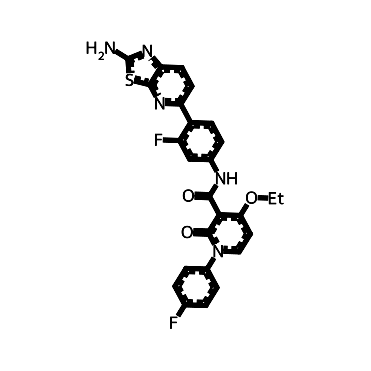 CCOc1ccn(-c2ccc(F)cc2)c(=O)c1C(=O)Nc1ccc(-c2ccc3nc(N)sc3n2)c(F)c1